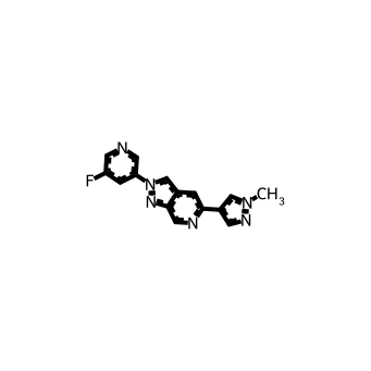 Cn1cc(-c2cc3cn(-c4cncc(F)c4)nc3cn2)cn1